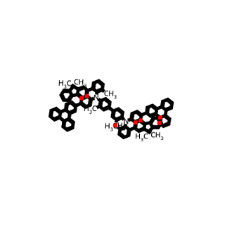 Cc1cc(-c2ccc(N(c3ccc(-c4ccc5c6ccccc6c6ccccc6c5c4)cc3)c3c(C)cccc3-c3ccc4c(c3)C(C)(C)c3ccccc3-4)c(C)c2)ccc1N(c1ccc(-c2ccc3c4ccccc4c4ccccc4c3c2)cc1)c1c(C)cccc1-c1ccc2c(c1)C(C)(C)c1ccccc1-2